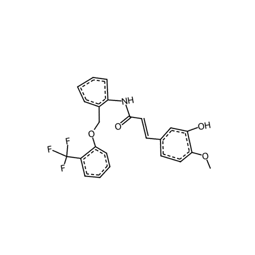 COc1ccc(/C=C/C(=O)Nc2ccccc2COc2ccccc2C(F)(F)F)cc1O